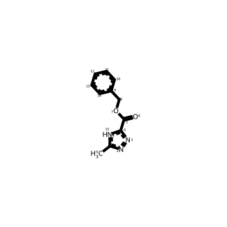 Cc1nnc(C(=O)OCc2ccccc2)[nH]1